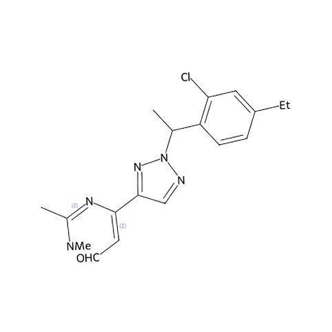 CCc1ccc(C(C)n2ncc(C(=C/C=O)/N=C(/C)NC)n2)c(Cl)c1